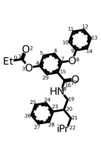 CCC(=O)Oc1ccc(Oc2ccccc2)c(C(=O)NCC(CC(C)C)c2ccccc2)c1